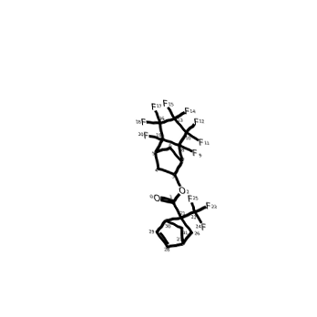 O=C(OC1CC2CC1C1(F)C(F)(F)C(F)(F)C(F)(F)C21F)C1(C(F)(F)F)CC2C=CC1C2